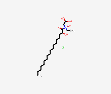 CCCCCCCCCCCCCCCCC(O)C(=O)[N+](O)(CC)CC(O)O.[Cl-]